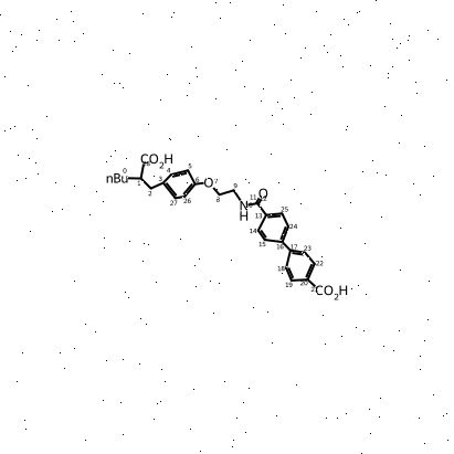 CCCCC(Cc1ccc(OCCNC(=O)c2ccc(-c3ccc(C(=O)O)cc3)cc2)cc1)C(=O)O